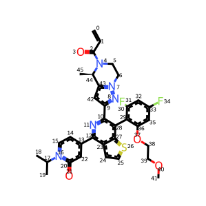 C=CC(=O)N1CCn2nc(-c3nc(-c4ccn(C(C)C)c(=O)c4)c4ccsc4c3-c3c(F)cc(F)cc3OCCOC)cc2[C@H]1C